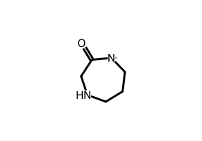 O=C1CNCCC[N]1